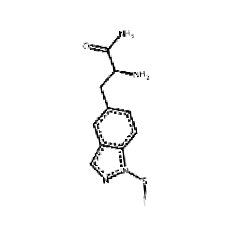 NC(=O)[C@@H](N)Cc1ccc2c(cnn2SI)c1